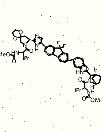 COC(=O)NC(C(=O)N1CC2(C[C@H]1c1ncc(-c3ccc4c(c3)C(F)(F)c3cc(-c5ccc6nc(C7[C@H]8CC[C@H](C8)N7C(=O)[C@@H](NC(=O)OC)C(C)C)[nH]c6c5)ccc3-4)[nH]1)OCCO2)C(C)C